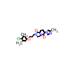 Cc1cn(-c2ccc3n(c2=O)CCN(CCCOc2cc(C)c(Cl)c(C)c2)C3=O)cn1